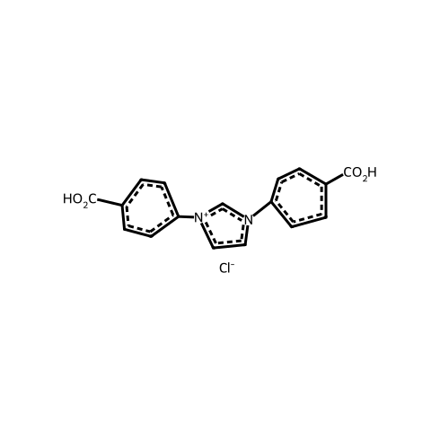 O=C(O)c1ccc(-n2cc[n+](-c3ccc(C(=O)O)cc3)c2)cc1.[Cl-]